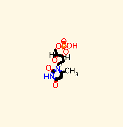 Cc1cc(=O)[nH]c(=O)n1[C@H]1C[C@@H]2OP(=O)(O)OC[C@H]2O1